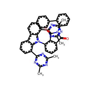 Cc1nc(C)nc(-c2cccc3c4cccc(-c5nc(C)nc(C)n5)c4n(-c4cccc5c4C(=O)N(c4ccccc4-c4ccccc4)C5=O)c23)n1